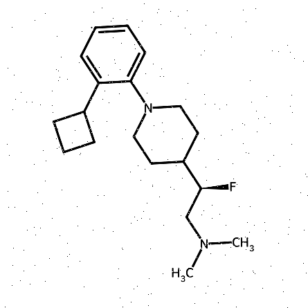 CN(C)C[C@H](F)C1CCN(c2cc[c]cc2C2CCC2)CC1